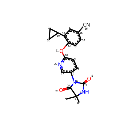 CC1(C)NC(=O)N(c2ccc(Oc3ccc(C#N)cc3C3CC3)nc2)C1=O